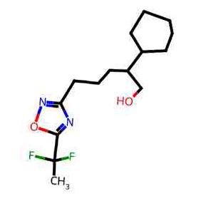 CC(F)(F)c1nc(CCCC(CO)C2CCCCC2)no1